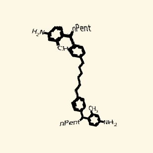 CCCCCC(c1ccc(CCCCCCc2ccc(C(CCCCC)c3ccc(N)cc3C)cc2)cc1)c1ccc(N)cc1C